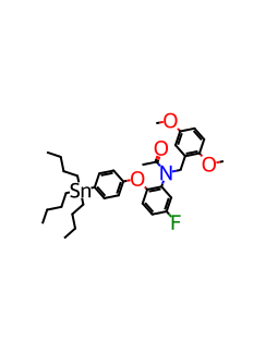 CCC[CH2][Sn]([CH2]CCC)([CH2]CCC)[c]1ccc(Oc2ccc(F)cc2N(Cc2cc(OC)ccc2OC)C(C)=O)cc1